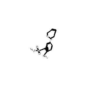 CS(=O)(=O)c1cc([C@H]2CCCCO2)ccc1N